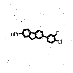 CCCc1ccc2c(c1)Cc1cc(-c3ccc(Cl)c(F)c3)ccc1-2